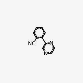 N#Cc1ccccc1-c1cnccn1